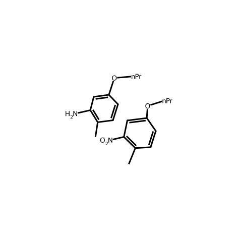 CCCOc1ccc(C)c(N)c1.CCCOc1ccc(C)c([N+](=O)[O-])c1